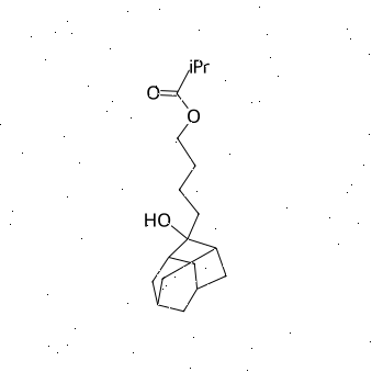 CC(C)C(=O)OCCCCC1(O)C2CC3CC(C2)CC1C3